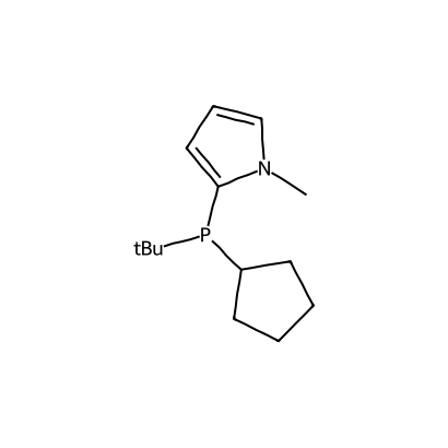 Cn1cccc1P(C1CCCC1)C(C)(C)C